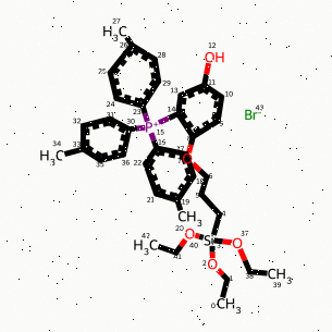 CCO[Si](CCCOc1ccc(O)cc1[P+](c1ccc(C)cc1)(c1ccc(C)cc1)c1ccc(C)cc1)(OCC)OCC.[Br-]